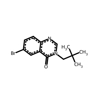 CC(C)(C)Cn1cnc2ccc(Br)cc2c1=O